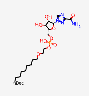 CCCCCCCCCCCCCCCCCCOCCOP(=O)(O)OC[C@H]1O[C@@H](n2cnc(C(N)=O)n2)[C@H](O)[C@@H]1O